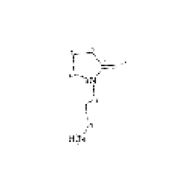 C=C1CCCN1CCCN